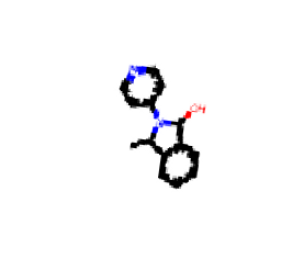 CC1c2ccccc2C(O)N1c1ccncc1